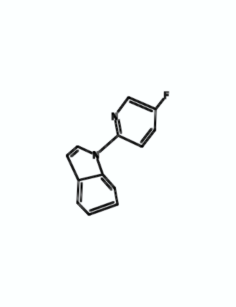 Fc1ccc(-n2ccc3ccccc32)nc1